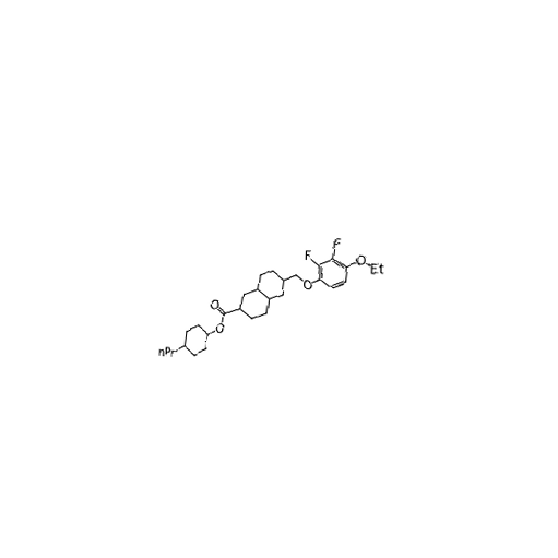 CCCC1CCC(OC(=O)C2CCC3CC(COc4ccc(OCC)c(F)c4F)CCC3C2)CC1